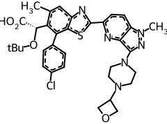 Cc1cc2nc(-c3ccc4c(n3)c(N3CCN(C5COC5)CC3)nn4C)sc2c(-c2ccc(Cl)cc2)c1[C@H](OC(C)(C)C)C(=O)O